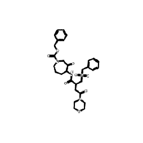 O=C(NC1CCCN(C(=O)OCc2ccccc2)CC1=O)C(CC(=O)N1CCOCC1)CS(=O)(=O)Cc1ccccc1